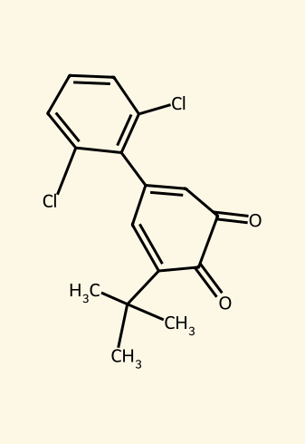 CC(C)(C)C1=CC(c2c(Cl)cccc2Cl)=CC(=O)C1=O